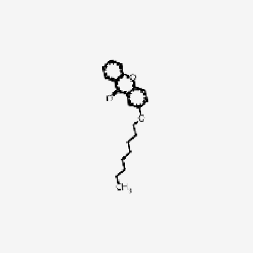 CCCCCCCCOc1ccc2oc3ccccc3c(=O)c2c1